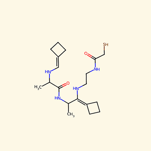 CC(NC=C1CCC1)C(=O)NC(C)C(NCCNC(=O)CS)=C1CCC1